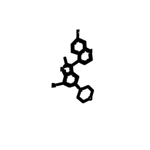 Cc1nc2c(Br)cc(N3CCOCC3)cc2n1-c1ccnc2cc(F)ccc12